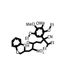 CCOc1cc(C(C#N)(CCC(O)C(CC2COc3ccccc3O2)[N+](=O)[O-])C(CC)CC)c(OCC)c(OC)c1OC